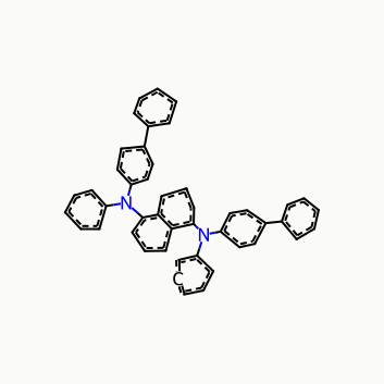 c1ccc(-c2ccc(N(c3ccccc3)c3cccc4c(N(c5ccccc5)c5ccc(-c6ccccc6)cc5)cccc34)cc2)cc1